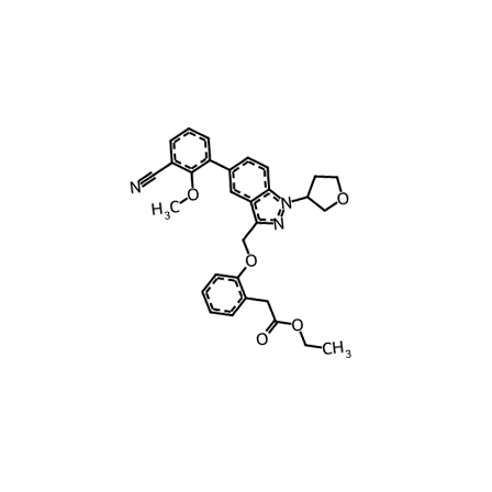 CCOC(=O)Cc1ccccc1OCc1nn(C2CCOC2)c2ccc(-c3cccc(C#N)c3OC)cc12